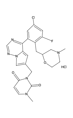 CN1CCOC(Cc2c(F)cc(Cl)cc2-c2ncnn3cc(Cn4c(=O)ccn(C)c4=O)cc23)C1.Cl